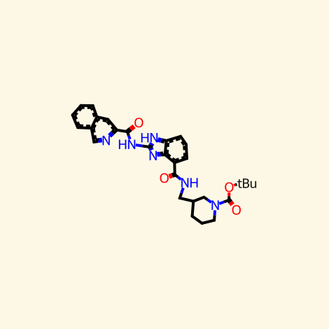 CC(C)(C)OC(=O)N1CCCC(CNC(=O)c2cccc3[nH]c(NC(=O)c4cc5ccccc5cn4)nc23)C1